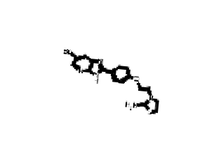 NC1SCCN1CCOc1ccc(-c2nc3cc(Br)cnc3[nH]2)cc1